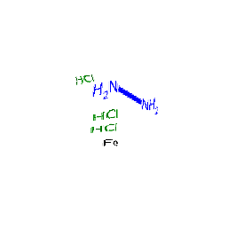 Cl.Cl.Cl.NN.[Fe]